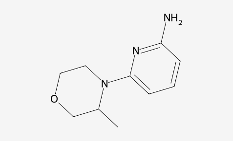 CC1COCCN1c1cccc(N)n1